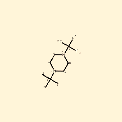 CC(C)(C)N1CCN(C(F)(F)F)CC1